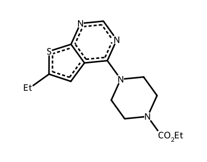 CCOC(=O)N1CCN(c2ncnc3sc(CC)cc23)CC1